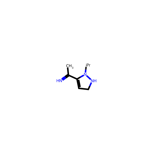 CC(=N)C1=CCNN1C(C)C